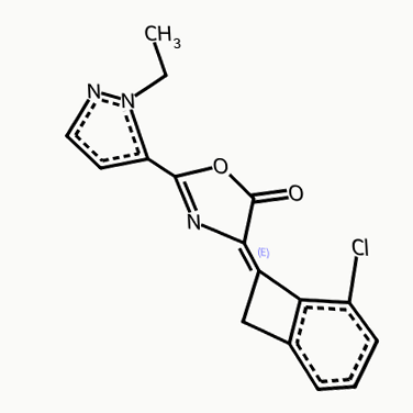 CCn1nccc1C1=N/C(=C2\Cc3cccc(Cl)c32)C(=O)O1